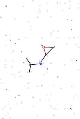 CC(C)NC1CO1